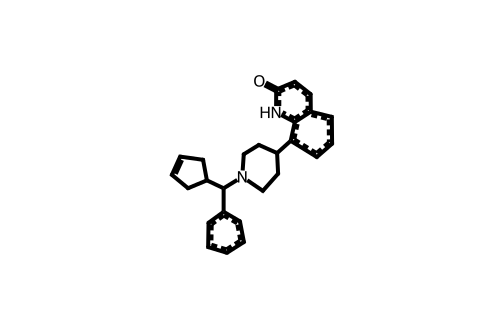 O=c1ccc2cccc(C3CCN(C(c4ccccc4)C4CC=CC4)CC3)c2[nH]1